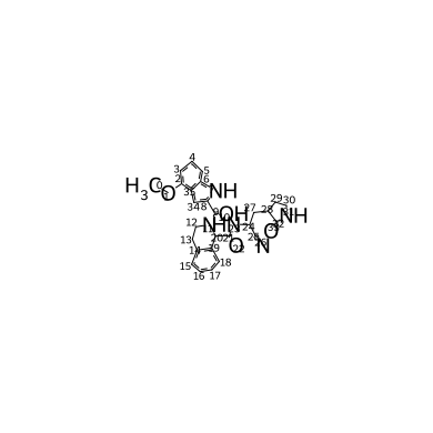 COc1cccc2[nH]c(C(O)N3CCc4ccccc4C3C(=O)NC(C#N)CC3CCNC3=O)cc12